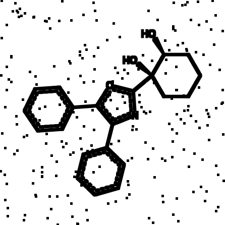 O[C@H]1CCCC[C@]1(O)c1nc(-c2ccccc2)c(-c2ccccc2)o1